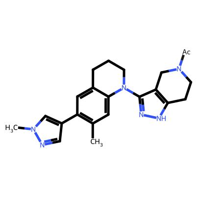 CC(=O)N1CCc2[nH]nc(N3CCCc4cc(-c5cnn(C)c5)c(C)cc43)c2C1